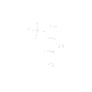 Cc1cc(NC(=O)CN(C)C)cc(C(F)(F)F)c1